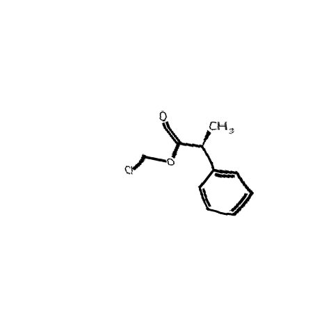 C[C@H](C(=O)OCCl)c1ccccc1